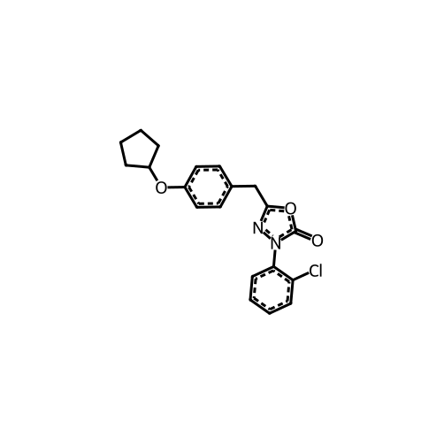 O=c1oc(Cc2ccc(OC3CCCC3)cc2)nn1-c1ccccc1Cl